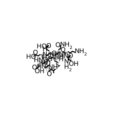 CSCC[C@H](NC(=O)[C@H](CCC(N)=O)NC(=O)[C@H](CCCCN)NC(=O)[C@@H](N)CO)C(=O)N[C@@H](CCC(=O)O)C(=O)N[C@@H](CCC(=O)O)C(=O)N[C@@H](CCC(=O)O)C(=O)N[C@@H](C)C(=O)N[C@H]([C]=O)C(C)C